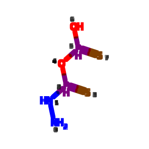 NN[PH](=S)O[PH](O)=S